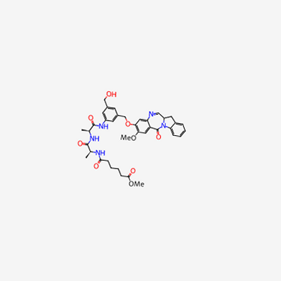 COC(=O)CCCCC(=O)N[C@@H](C)C(=O)N[C@@H](C)C(=O)Nc1cc(CO)cc(COc2cc3c(cc2OC)C(=O)N2c4ccccc4CC2C=N3)c1